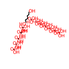 O=C(O)O.O=C(O)O.O=C(O)O.O=C(O)O.O=C(O)O.O=C(O)O.O=C(O)O.O=C(O)O.O=C(O)O.O=C(O)O.O=C(O)O.O=C(O)O.OCCCCCCO